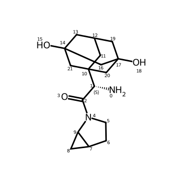 N[C@H](C(=O)N1CCC2CC21)C12CC3CC(O)(CC(O)(C3)C1)C2